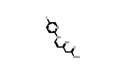 CNC(=O)CC(=N)/C=C\Nc1ccc(F)cn1